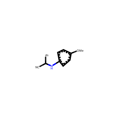 COc1ccc(NC(C#N)C(C)C)cc1